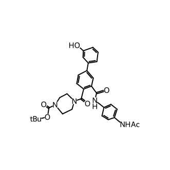 CC(=O)Nc1ccc(NC(=O)c2cc(-c3cccc(O)c3)ccc2C(=O)N2CCN(C(=O)OC(C)(C)C)CC2)cc1